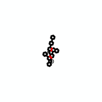 c1ccc(-c2ccc(-c3ccc(N(c4ccccc4-c4ccc5oc6ccccc6c5c4)c4ccccc4-c4cccc5ccccc45)cc3)cc2)cc1